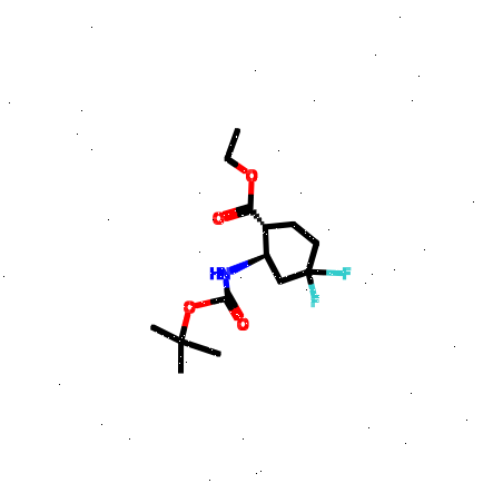 CCOC(=O)[C@@H]1CCC(F)(F)C[C@H]1NC(=O)OC(C)(C)C